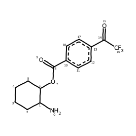 NC1CCCCC1OC(=O)c1ccc(C(=O)C(F)(F)F)cc1